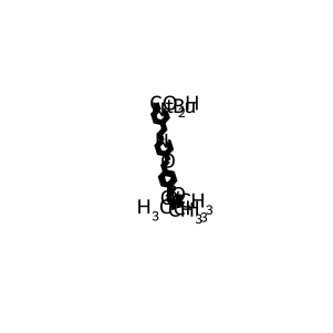 CC(C)(C)C1CC(CCN2CCC(OCc3ccc(B4OC(C)(C)C(C)(C)O4)cc3)CC2)CCN1C(=O)O